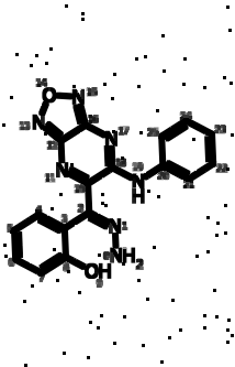 NN=C(c1ccccc1O)c1nc2nonc2nc1Nc1ccccc1